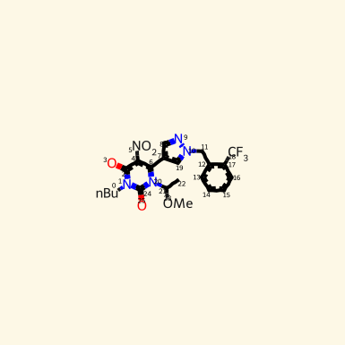 CCCCn1c(=O)c([N+](=O)[O-])c(-c2cnn(Cc3ccccc3C(F)(F)F)c2)n(C(C)OC)c1=O